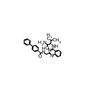 CC(C)[C@H](Nc1nc(CNC(=O)c2ccc(-c3ccccc3)cc2)nc2ccccc12)C(N)=O